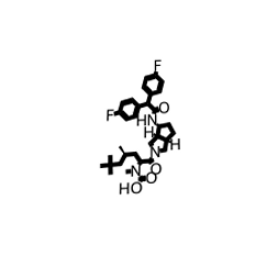 C[C@@H](CC(C(=O)N1C[C@H]2CC[C@H](NC(=O)C(c3ccc(F)cc3)c3ccc(F)cc3)[C@H]2C1)N(C)C(=O)O)CC(C)(C)C